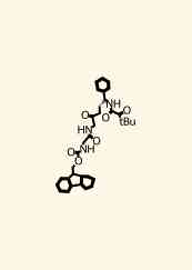 CC(C)(C)C(=O)C(=O)N[C@H](CCC(=O)CNC(=O)CNC(=O)OCC1c2ccccc2-c2ccccc21)c1ccccc1